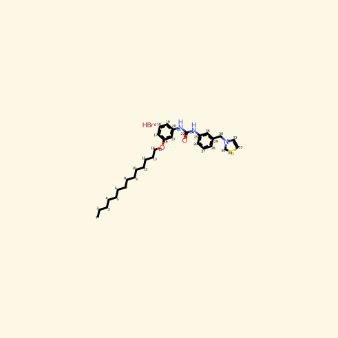 Br.CCCCCCCCCCCCCCOc1cccc(NC(=O)Nc2cccc(CN3C=CSC3)c2)c1